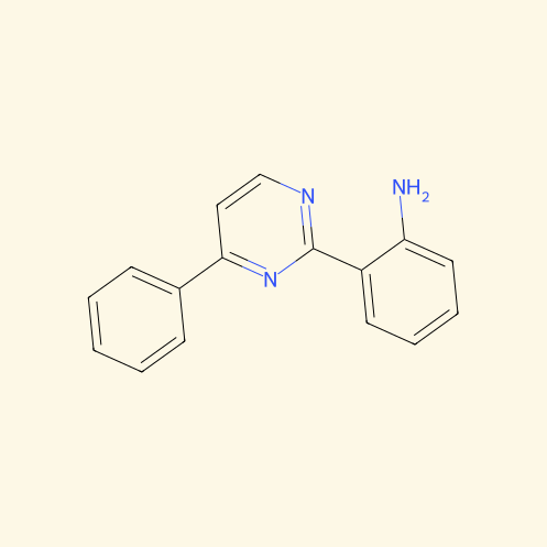 Nc1ccccc1-c1nccc(-c2ccccc2)n1